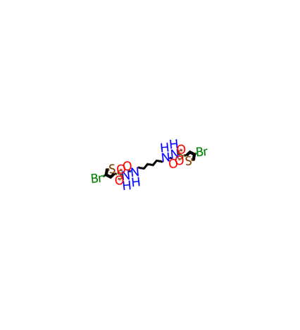 O=C(NCCCCCCNC(=O)NS(=O)(=O)c1cc(Br)cs1)NS(=O)(=O)c1cc(Br)cs1